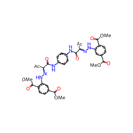 COC(=O)c1ccc(C(=O)OC)c(N/N=C(\C(C)=O)C(=O)Nc2ccc(NC(=O)/C(=N/Nc3cc(C(=O)OC)ccc3C(=O)OC)C(C)=O)cc2)c1